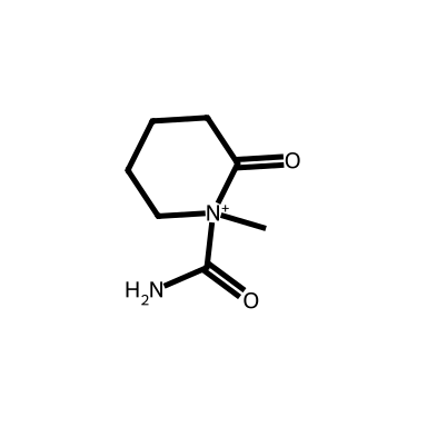 C[N+]1(C(N)=O)CCCCC1=O